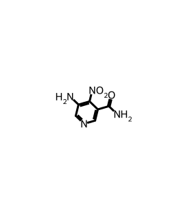 NC(=O)c1cncc(N)c1[N+](=O)[O-]